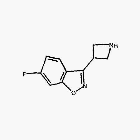 Fc1ccc2c(C3CNC3)noc2c1